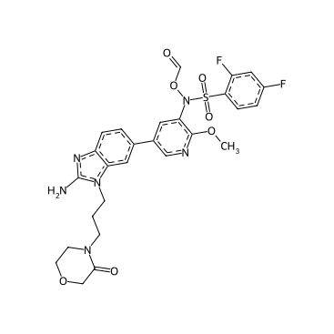 COc1ncc(-c2ccc3nc(N)n(CCCN4CCOCC4=O)c3c2)cc1N(OC=O)S(=O)(=O)c1ccc(F)cc1F